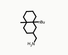 CCCCC12CCCCC1(C)CCC(CN)C2